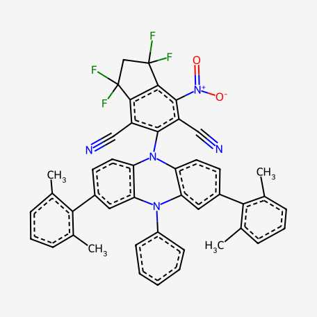 Cc1cccc(C)c1-c1ccc2c(c1)N(c1ccccc1)c1cc(-c3c(C)cccc3C)ccc1N2c1c(C#N)c([N+](=O)[O-])c2c(c1C#N)C(F)(F)CC2(F)F